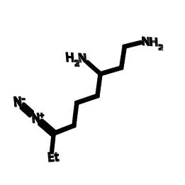 CCC(CCCC(N)CCN)=[N+]=[N-]